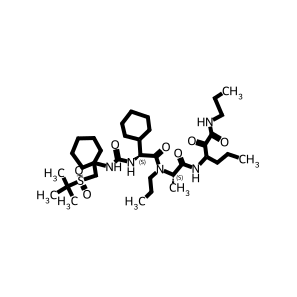 CCCNC(=O)C(=O)C(CCC)NC(=O)[C@H](C)N(CCC)C(=O)[C@@H](NC(=O)NC1(CS(=O)(=O)C(C)(C)C)CCCCC1)C1CCCCC1